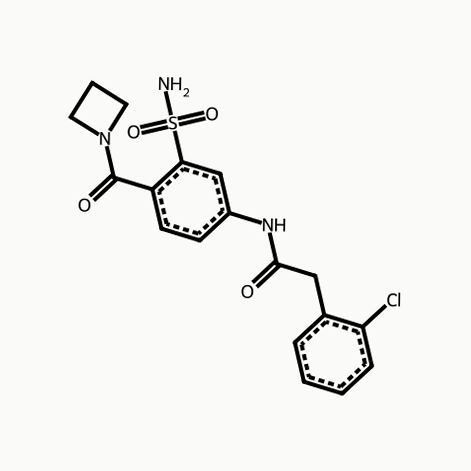 NS(=O)(=O)c1cc(NC(=O)Cc2ccccc2Cl)ccc1C(=O)N1CCC1